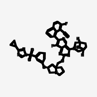 C#Cc1c(F)ccc2cccc(-c3ncc4c(N5C[C@H]6CC[C@@H](C5)N6)nc(OC[C@@]56CCCN5C[C@@H](Oc5cccc(S(=O)(=O)n7cnc(C8CC8)n7)c5)C6)nc4c3F)c12